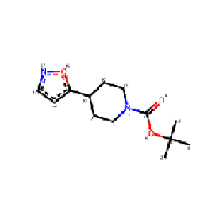 CC(C)(C)OC(=O)N1CCC(c2ccno2)CC1